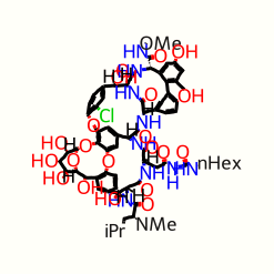 CCCCCCNC(=O)NC(=O)C[C@@H]1NC(=O)[C@H](NC(=O)[C@@H](CC(C)C)NC)[C@H](O)c2ccc3c(c2)C(O)[C@H]2O[C@@H](Oc4c5cc(cc4O3)[C@@H](NC1=O)C(=O)N[C@H]1C(=O)N[C@H](C(=O)N[C@H](C(=O)NOC)c3cc(O)cc(C)c3-c3cc1ccc3O)[C@H](O)c1ccc(c(Cl)c1)O5)[C@H](O)[C@@H](O)[C@@H]2O